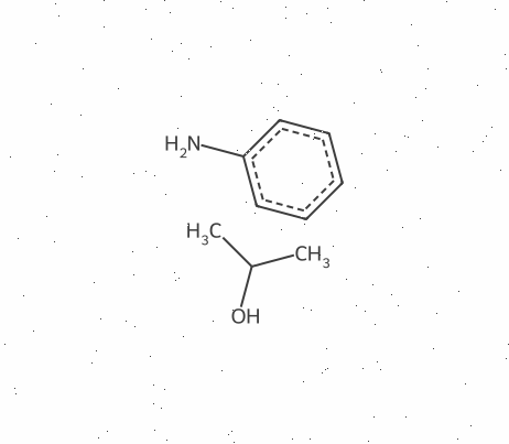 CC(C)O.Nc1ccccc1